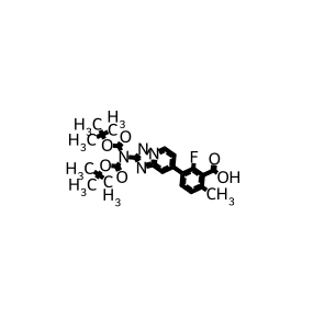 Cc1ccc(-c2ccn3nc(N(C(=O)OC(C)(C)C)C(=O)OC(C)(C)C)nc3c2)c(F)c1C(=O)O